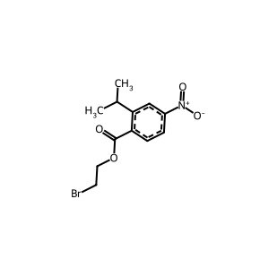 CC(C)c1cc([N+](=O)[O-])ccc1C(=O)OCCBr